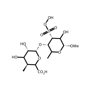 CO[C@@H]1OC(C)[C@H](O[C@@H]2OC(C(=O)O)[C@@H](C)C(O)[C@@H]2O)[C@H](S(=O)(=O)OO)C1O